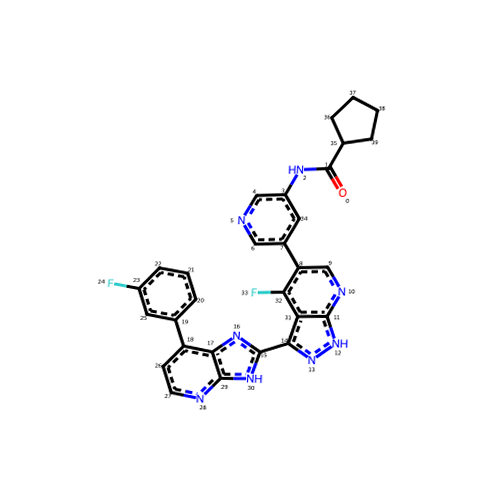 O=C(Nc1cncc(-c2cnc3[nH]nc(-c4nc5c(-c6cccc(F)c6)ccnc5[nH]4)c3c2F)c1)C1CCCC1